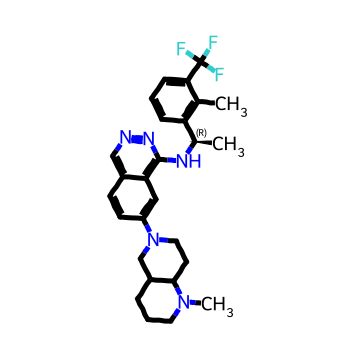 Cc1c([C@@H](C)Nc2nncc3ccc(N4CCC5C(CCCN5C)C4)cc23)cccc1C(F)(F)F